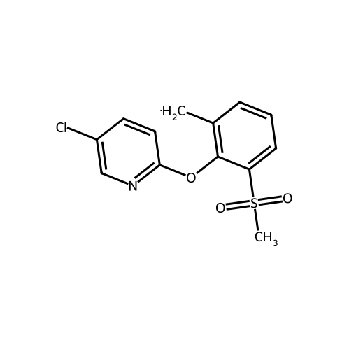 [CH2]c1cccc(S(C)(=O)=O)c1Oc1ccc(Cl)cn1